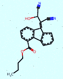 CCCCOC(=O)c1cccc2c1-c1ccccc1C2=C(C#N)C(O)C#N